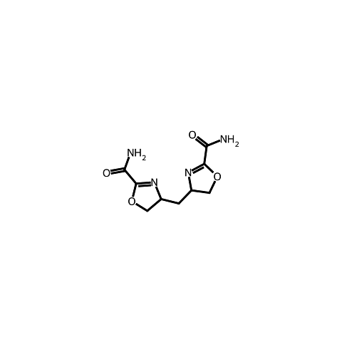 NC(=O)C1=NC(CC2COC(C(N)=O)=N2)CO1